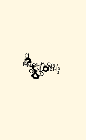 C[N+](C)(C)[C@H]1CC[C@H](C(=O)Nc2c(C(=O)Nc3ccc(Cl)cn3)oc3ccccc23)CC1